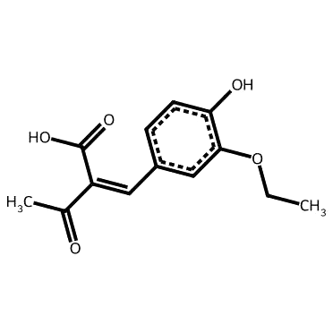 CCOc1cc(C=C(C(C)=O)C(=O)O)ccc1O